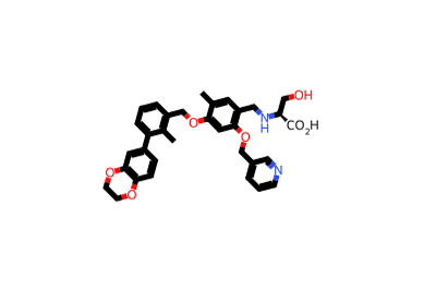 Cc1cc(CN[C@@H](CO)C(=O)O)c(OCc2cccnc2)cc1OCc1cccc(-c2ccc3c(c2)OCCO3)c1C